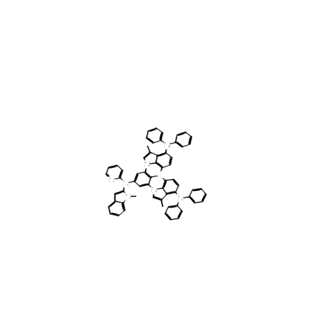 Cc1cn2c3c(ccc(N(c4ccccc4)c4ccccc4)c13)B1c3c-2cc(N(c2ccccn2)c2cc4ccccc4n2C)cc3-n2cc(C)c3c(N(c4ccccc4)c4ccccc4)ccc1c32